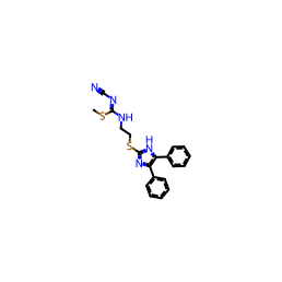 CSC(=NC#N)NCCSc1nc(-c2ccccc2)c(-c2ccccc2)[nH]1